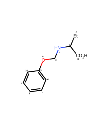 CCC(NCOc1ccccc1)C(=O)O